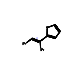 CC(C)/C=C(/c1cccs1)C(C)C